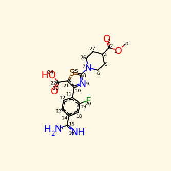 COC(=O)C1CCN(c2nc(-c3ccc(C(=N)N)cc3F)c(C(=O)O)s2)CC1